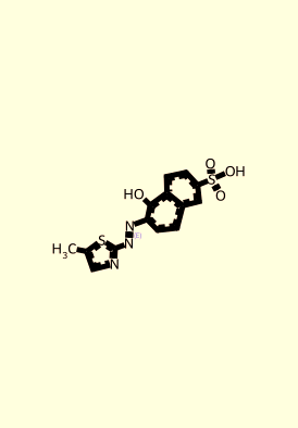 Cc1cnc(/N=N/c2ccc3cc(S(=O)(=O)O)ccc3c2O)s1